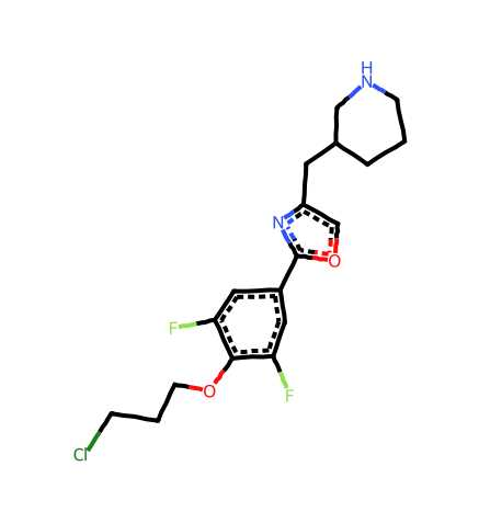 Fc1cc(-c2nc(CC3CCCNC3)co2)cc(F)c1OCCCCl